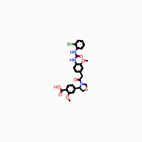 COc1cc(CC(=O)N2CSCC2c2ccc(C(=O)O)c(OC)c2)ccc1NC(=O)Nc1ccccc1Br